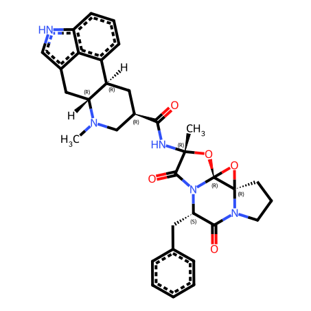 CN1C[C@H](C(=O)N[C@]2(C)O[C@@]34O[C@]35CCCN5C(=O)[C@H](Cc3ccccc3)N4C2=O)C[C@@H]2c3cccc4[nH]cc(c34)C[C@H]21